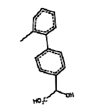 Cc1ccccc1-c1ccc(C(O)C(=O)O)cc1